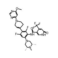 COc1cc(N2CC=C(c3c(F)cc(N4C[C@@H](C)N(C)[C@@H](C)C4)c(NC(=O)c4c[nH]c(=O)cc4C(F)(F)F)c3F)CC2)ncn1